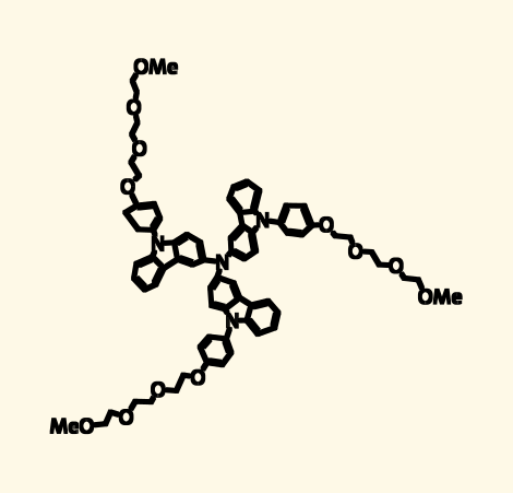 COCCOCCOCCOC1=CC=C(n2c3ccccc3c3cc(N(c4ccc5c(c4)c4ccccc4n5-c4ccc(OCCOCCOCCOC)cc4)c4ccc5c(c4)c4ccccc4n5-c4ccc(OCCOCCOCCOC)cc4)ccc32)CC1